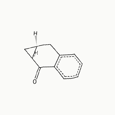 O=C1c2ccccc2C[C@@H]2C[C@H]12